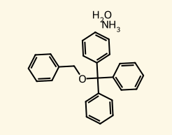 N.O.c1ccc(COC(c2ccccc2)(c2ccccc2)c2ccccc2)cc1